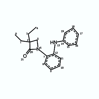 CCC1(CC)CN(c2ccccc2Nc2ccccc2)C1=O